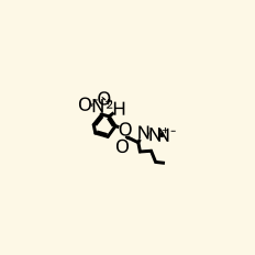 [2H]c1c(OC(=O)C(CCCC)N=[N+]=[N-])cccc1[N+](=O)[O-]